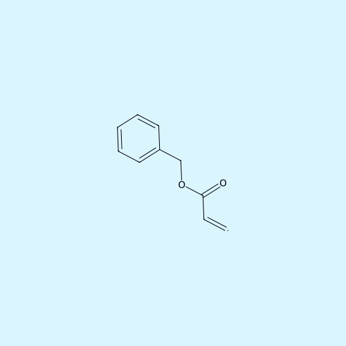 [CH]=CC(=O)OCc1ccccc1